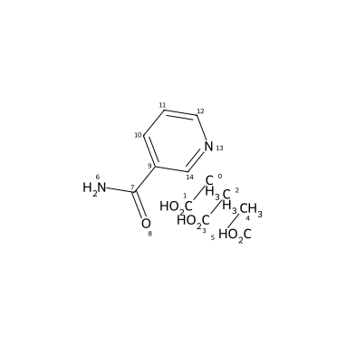 CC(=O)O.CC(=O)O.CC(=O)O.NC(=O)c1cccnc1